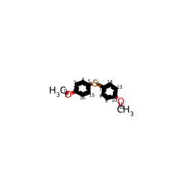 COc1ccc(Sc2ccc(OC)cc2)cc1